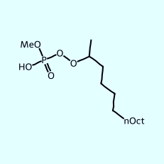 CCCCCCCCCCCCC(C)OOP(=O)(O)OC